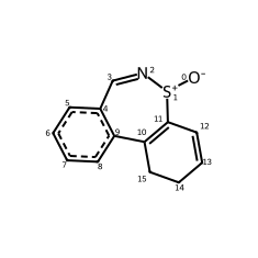 [O-][S+]1N=Cc2ccccc2C2=C1C=CCC2